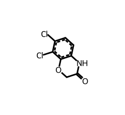 O=C1COc2c(ccc(Cl)c2Cl)N1